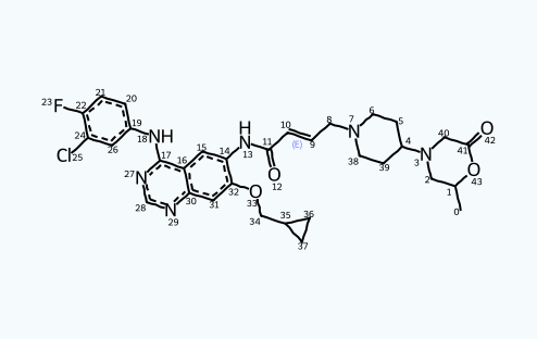 CC1CN(C2CCN(C/C=C/C(=O)Nc3cc4c(Nc5ccc(F)c(Cl)c5)ncnc4cc3OCC3CC3)CC2)CC(=O)O1